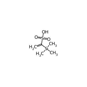 C=C([Si](C)(C)C)S(=O)(=O)O